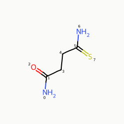 NC(=O)CCC(N)=S